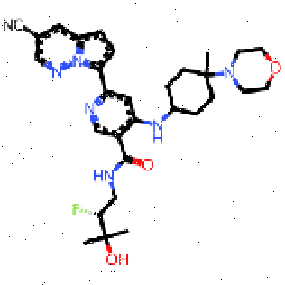 CC(C)(O)[C@H](F)CNC(=O)c1cnc(-c2ccc3cc(C#N)cnn23)cc1NC1CCC(C)(N2CCOCC2)CC1